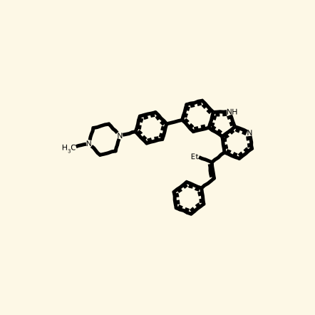 CC/C(=C\c1ccccc1)c1ccnc2[nH]c3ccc(-c4ccc(N5CCN(C)CC5)cc4)cc3c12